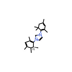 CC1=CC(C)=C(N2C=CN(C3=C(C)C=C(C)C(C)[C@@H]3C)C2)C(C)(C)C1